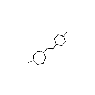 C[C@@H]1CCCC(CCC2CCN(C)CC2)CC1